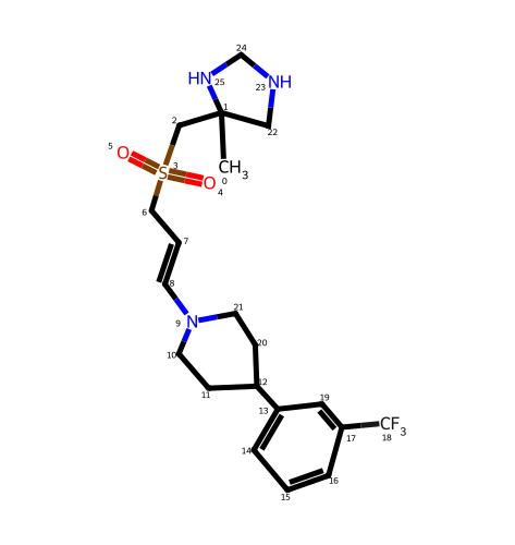 CC1(CS(=O)(=O)CC=CN2CCC(c3cccc(C(F)(F)F)c3)CC2)CNCN1